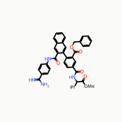 COC(=O)C(NC(=O)c1ccc(-c2cc3ccccc3cc2C(=O)Nc2ccc(C(=N)N)cc2)c(C(=O)OCc2ccccc2)c1)C(C)C